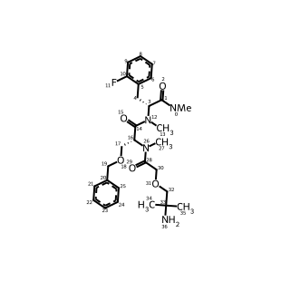 CNC(=O)[C@@H](Cc1ccccc1F)N(C)C(=O)[C@@H](COCc1ccccc1)N(C)C(=O)COCC(C)(C)N